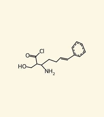 NC(CCC=Cc1ccccc1)C(CO)C(=O)Cl